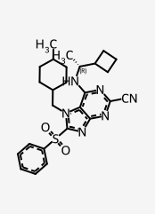 CC1CCC(Cn2c(S(=O)(=O)c3ccccc3)nc3nc(C#N)nc(N[C@H](C)C4CCC4)c32)CC1